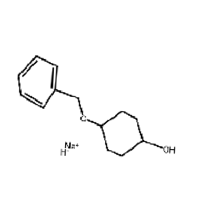 OC1CCC(OCc2ccccc2)CC1.[H-].[Na+]